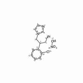 CC(C)CC(Cn1ccnc1)c1ccccc1Cl.O=[N+]([O-])O